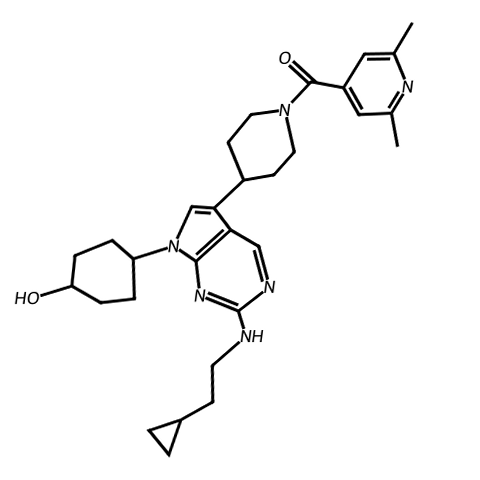 Cc1cc(C(=O)N2CCC(c3cn(C4CCC(O)CC4)c4nc(NCCC5CC5)ncc34)CC2)cc(C)n1